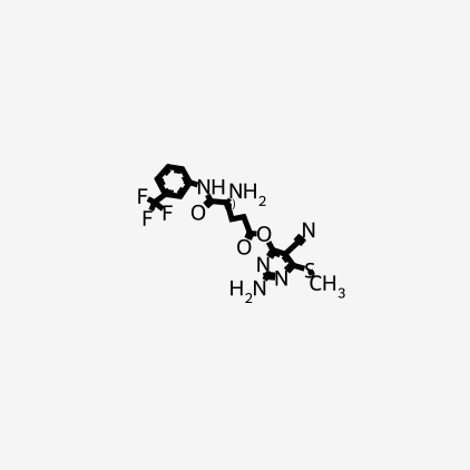 CSc1nc(N)nc(OC(=O)CC[C@H](N)C(=O)Nc2cccc(C(F)(F)F)c2)c1C#N